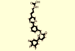 O=C(O)NCC=Cc1cnc(-c2cccc(Cn3nc(-c4cc(F)c(F)c(F)c4)ccc3=O)c2)nc1